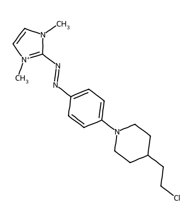 Cn1cc[n+](C)c1/N=N/c1ccc(N2CCC(CCCl)CC2)cc1